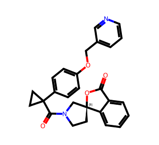 O=C1O[C@]2(CCN(C(=O)C3(c4ccc(OCc5cccnc5)cc4)CC3)C2)c2ccccc21